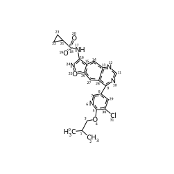 CC(C)COc1ncc(-c2ncnc3cc4c(NS(=O)(=O)C5CC5)noc4cc23)cc1Cl